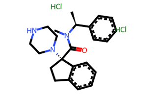 C[C@@H](c1ccccc1)N(C)C(=O)[C@]1(N2CCNCC2)CCc2ccccc21.Cl.Cl